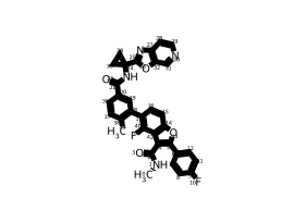 CNC(=O)c1c(-c2ccc(F)cc2)oc2ccc(-c3cc(C(=O)NC4(c5nc6ccncc6o5)CC4)ccc3C)c(F)c12